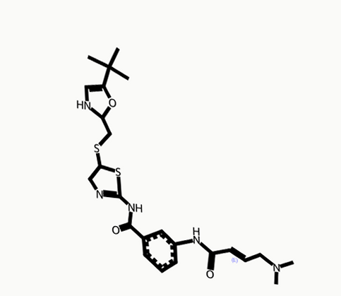 CN(C)C/C=C/C(=O)Nc1cccc(C(=O)NC2=NCC(SCC3NC=C(C(C)(C)C)O3)S2)c1